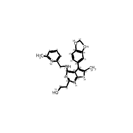 Cc1cccc(CNc2nc(CCO)nc3sc(C)c(-c4ccc5c(c4)OCO5)c23)n1